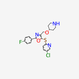 Fc1ccc(-c2nc(COC3CCNCC3)c(Sc3ccc(Cl)cn3)o2)cc1